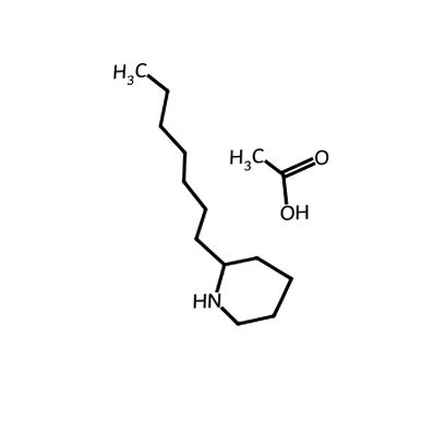 CC(=O)O.CCCCCCCC1CCCCN1